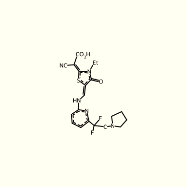 CCn1c(=C(C#N)C(=O)O)sc(=CNc2cccc(C(F)(F)CN3CCCC3)n2)c1=O